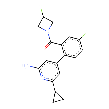 Nc1cc(-c2ccc(F)cc2C(=O)N2CC(F)C2)cc(C2CC2)n1